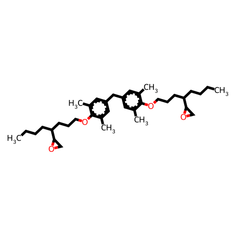 CCCCC(CCCOc1c(C)cc(Cc2cc(C)c(OCCCC(CCCC)C3CO3)c(C)c2)cc1C)C1CO1